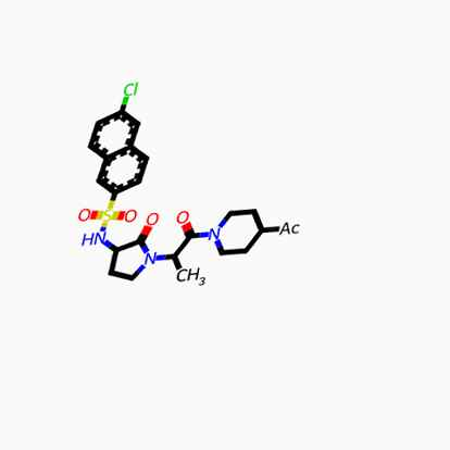 CC(=O)C1CCN(C(=O)C(C)N2CCC(NS(=O)(=O)c3ccc4cc(Cl)ccc4c3)C2=O)CC1